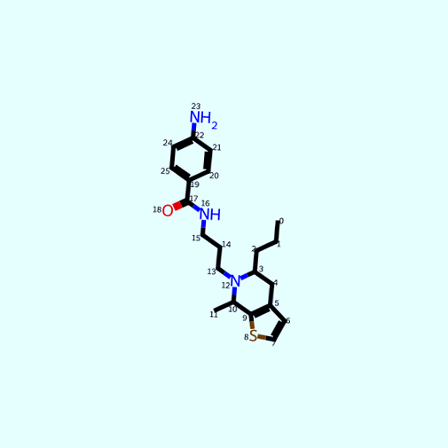 CCCC1Cc2ccsc2C(C)N1CCCNC(=O)c1ccc(N)cc1